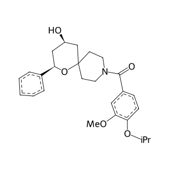 COc1cc(C(=O)N2CCC3(CC2)C[C@H](O)C[C@H](c2ccccc2)O3)ccc1OC(C)C